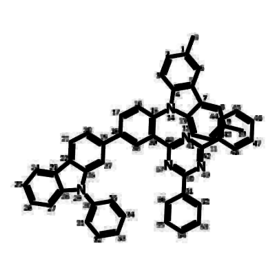 Cc1ccc2c(c1)c1cc(C)ccc1n2-c1ccc(-c2ccc3c4ccccc4n(-c4ccccc4)c3c2)cc1-c1nc(-c2ccccc2)nc(-c2ccccc2)n1